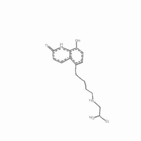 CCC(O)CNCCCCc1ccc(O)c2[nH]c(=O)ccc12